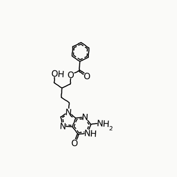 Nc1nc2c(ncn2CCC(CO)COC(=O)c2ccccc2)c(=O)[nH]1